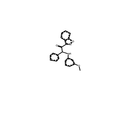 COc1cccc(NC(C(=O)c2noc3ccccc23)c2ccccc2)c1